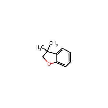 CC1(C)COc2c[c]ccc21